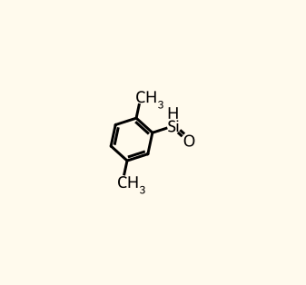 Cc1ccc(C)c([SiH]=O)c1